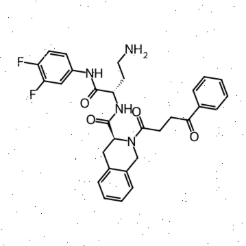 NCC[C@H](NC(=O)[C@@H]1Cc2ccccc2CN1C(=O)CCC(=O)c1ccccc1)C(=O)Nc1ccc(F)c(F)c1